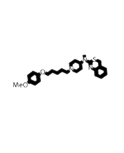 COc1ccc(OCCCCCN2CCC(N(C)C3=Nc4ccccc4CS3)CC2)cc1